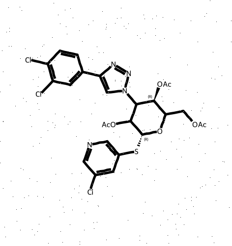 CC(=O)OCC1O[C@H](Sc2cncc(Cl)c2)C(OC(C)=O)C(n2cc(-c3ccc(Cl)c(Cl)c3)nn2)[C@H]1OC(C)=O